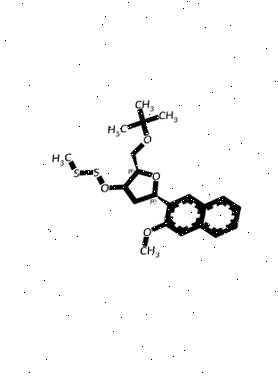 COc1cc2ccccc2cc1[C@H]1CC(OSSC)[C@@H](COC(C)(C)C)O1